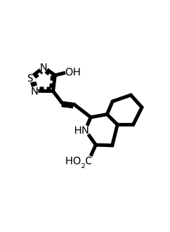 O=C(O)C1CC2CCCCC2C(C=Cc2nsnc2O)N1